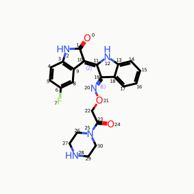 O=C1Nc2ccc(F)cc2/C1=C1/Nc2ccccc2/C1=N\OCC(=O)N1CCNCC1